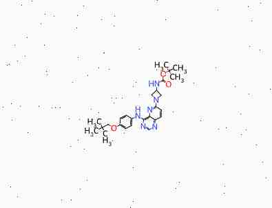 CC(C)(C)COc1ccc(Nc2ncnc3ccc(N4CC(NC(=O)OC(C)(C)C)C4)nc23)cc1